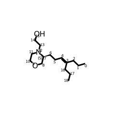 CCCC(=CCC[C@H]1COCCN1CCO)CCC